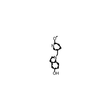 COc1ccc(Cn2ccc3cc(O)ccc32)cn1